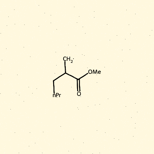 [CH2]C(CCCC)C(=O)OC